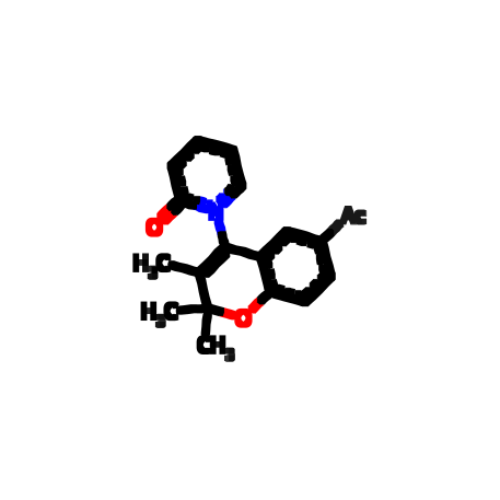 CC(=O)c1ccc2c(c1)C(n1ccccc1=O)=C(C)C(C)(C)O2